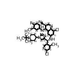 Cc1cc(Cl)ncc1[C@H](Nc1cc(Cl)c2ncc(C#N)c(Nc3ccc(F)c(Cl)c3)c2c1)c1cn(C2CCN(C(C)(C)C)CC2)nn1